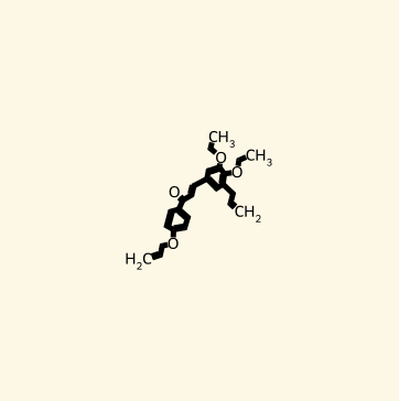 C=CCOc1ccc(C(=O)/C=C/c2cc(CC=C)c(OCC)c(OCC)c2)cc1